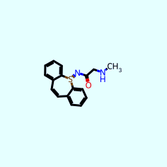 CNCC(=O)N=S1c2ccccc2C=Cc2ccccc21